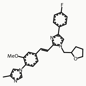 COc1cc(C=Cc2nc(-c3ccc(F)cc3)cn2CC2CCCO2)ccc1-n1cnc(C)c1